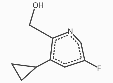 OCc1ncc(F)cc1C1CC1